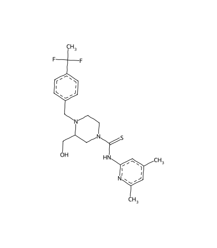 Cc1cc(C)nc(NC(=S)N2CCN(Cc3ccc(C(C)(F)F)cc3)C(CO)C2)c1